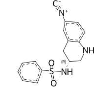 [C-]#[N+]c1ccc2c(c1)C[C@@H](NS(=O)(=O)c1ccccc1)CN2